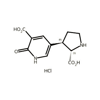 Cl.O=C(O)c1cc([C@H]2CCN[C@@H]2C(=O)O)c[nH]c1=O